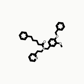 COc1cc(CN(CCc2ccccn2)C(=O)CCCCc2ccccc2)ccc1OCc1ccccc1